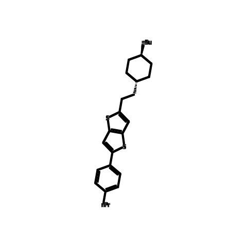 CCCC[C@H]1CC[C@H](CCc2cc3sc(-c4ccc(CCC)cc4)cc3s2)CC1